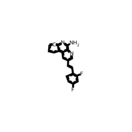 Nc1nc2ccccc2c2cc(/C=C/c3ccc(F)cc3F)cnc12